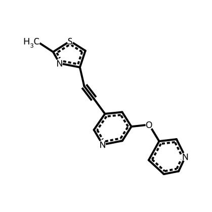 Cc1nc(C#Cc2cncc(Oc3cccnc3)c2)cs1